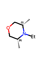 CCN1[C@H](C)COC[C@@H]1C